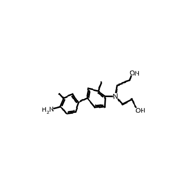 Cc1cc(-c2ccc(N(CCO)CCO)c(C)c2)ccc1N